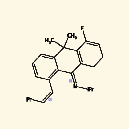 CC(C)/C=C\c1cccc2c1/C(=N/C(C)C)C1=C(C(F)=CCC1)C2(C)C